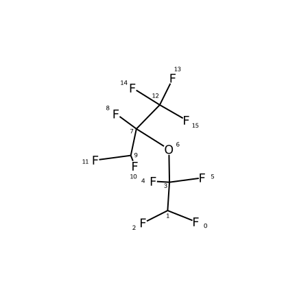 FC(F)C(F)(F)OC(F)(C(F)F)C(F)(F)F